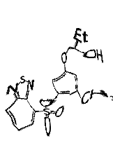 CCC(O)Oc1cc(C)cc(OS(=O)(=O)c2cccc3nsnc23)c1